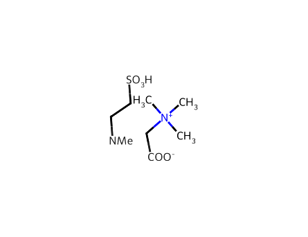 CNCCS(=O)(=O)O.C[N+](C)(C)CC(=O)[O-]